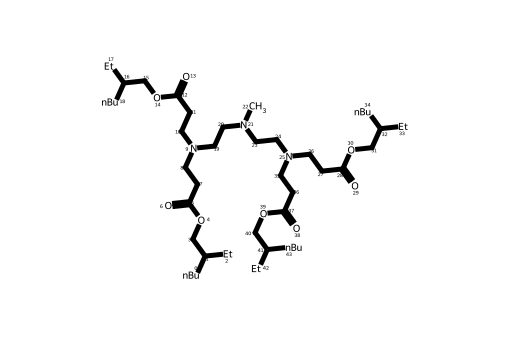 CCCCC(CC)COC(=O)CCN(CCC(=O)OCC(CC)CCCC)CCN(C)CCN(CCC(=O)OCC(CC)CCCC)CCC(=O)OCC(CC)CCCC